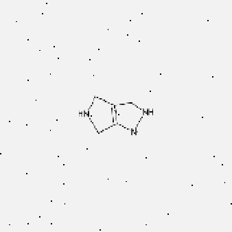 C1NCC2=C1CN[N]2